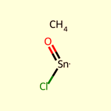 C.[O]=[Sn][Cl]